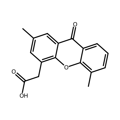 Cc1cc(CC(=O)O)c2oc3c(C)cccc3c(=O)c2c1